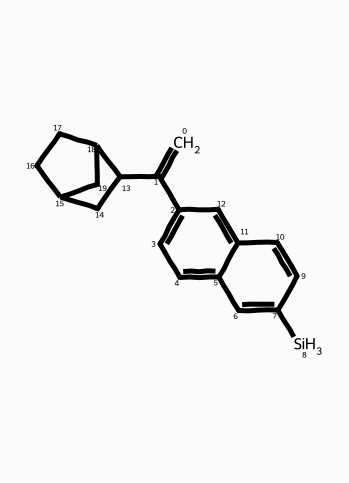 C=C(c1ccc2cc([SiH3])ccc2c1)C1CC2CCC1C2